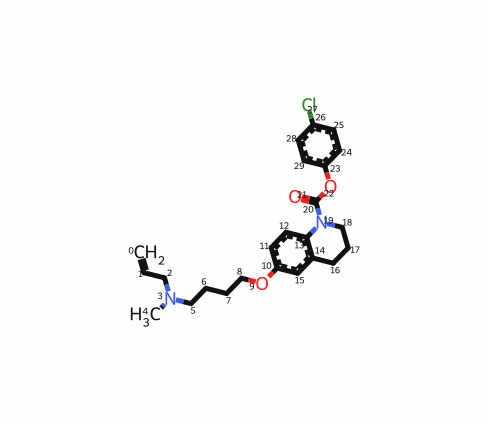 C=CCN(C)CCCCOc1ccc2c(c1)CCCN2C(=O)Oc1ccc(Cl)cc1